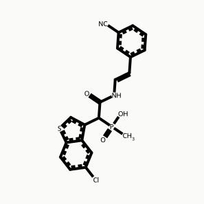 CP(=O)(O)C(C(=O)NC=Cc1cccc(C#N)c1)c1csc2ccc(Cl)cc12